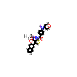 COC(=O)c1c(C2CCc3ccccc3C2)csc1NC(=O)c1ccc(N(I)C2CCOCC2)cc1